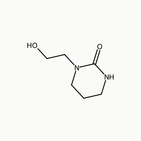 O=C1NCCCN1CCO